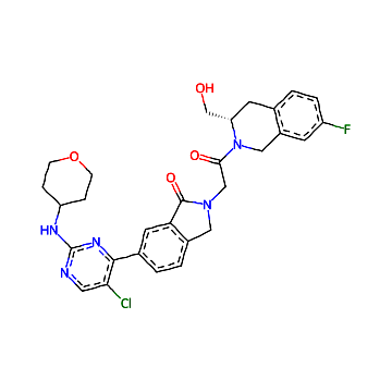 O=C1c2cc(-c3nc(NC4CCOCC4)ncc3Cl)ccc2CN1CC(=O)N1Cc2cc(F)ccc2C[C@H]1CO